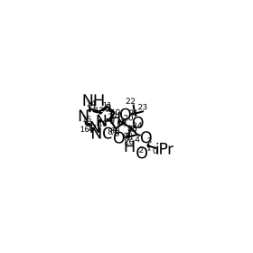 CC(C)C(=O)OC1[C@H]2O[C@@](C#N)(c3ccc4c(N)ncnn34)[C@@H]3OC(C)(C)O[C@]123